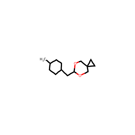 CC1CCC(CC2OCC3(CC3)CO2)CC1